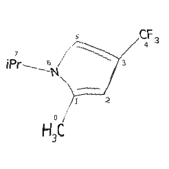 Cc1cc(C(F)(F)F)cn1C(C)C